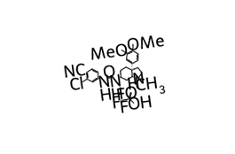 COc1ccc([C@@]23CC[C@@H](NC(=O)Nc4ccc(C#N)c(Cl)c4)C[C@@H]2N(C)CC3)cc1OC.O=C(O)C(F)(F)F